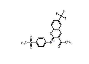 CC(=O)c1cc2cc(C(F)(F)F)ccc2o/c1=N\c1ccc(S(C)(=O)=O)cc1